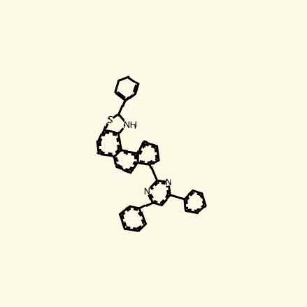 C1=CC(C2Nc3c(ccc4ccc5c(-c6nc(-c7ccccc7)cc(-c7ccccc7)n6)cccc5c34)S2)=CCC1